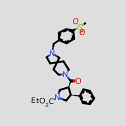 CCOC(=O)N1C[C@H](c2ccccc2)[C@H](C(=O)N2CCC3(CCN(Cc4ccc(S(C)(=O)=O)cc4)C3)CC2)C1